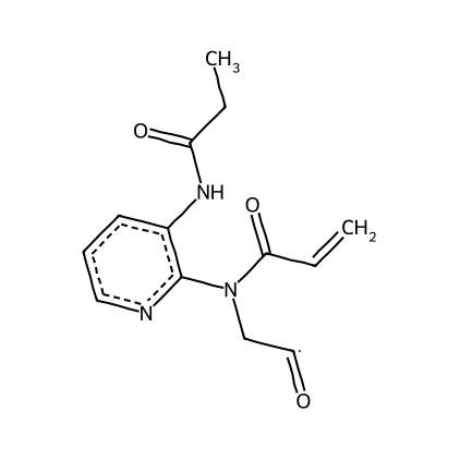 C=CC(=O)N(C[C]=O)c1ncccc1NC(=O)CC